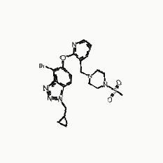 CS(=O)(=O)N1CCN(Cc2cccnc2Oc2ccc3c(nnn3CC3CC3)c2Br)CC1